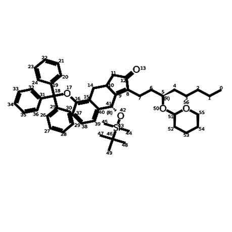 CCCCC[C@H](CCC1=C2C(CC1=O)Cc1c(OC(c3ccccc3)(c3ccccc3)c3ccccc3)cccc1[C@H]2O[Si](C)(C)C(C)(C)C)OC1CCCCO1